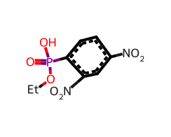 CCOP(=O)(O)c1ccc([N+](=O)[O-])cc1[N+](=O)[O-]